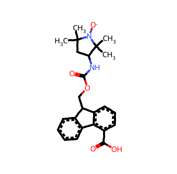 CC1(C)CC(NC(=O)OCC2c3ccccc3-c3c(C(=O)O)cccc32)C(C)(C)N1[O]